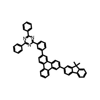 CC1(C)c2ccccc2-c2ccc(-c3ccc4c5cc(-c6cccc(-c7nc(-c8ccccc8)nc(-c8ccccc8)n7)c6)ccc5c5ccccc5c4c3)cc21